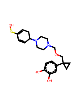 OSC1=CCC(N2CCN(COCC3(c4ccc(O)c(O)c4)CC3)CC2)C=C1